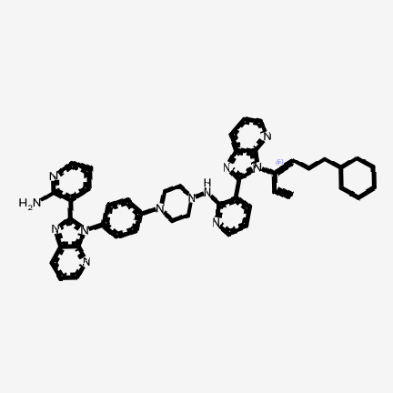 C=C/C(=C\CCC1CCCCC1)n1c(-c2cccnc2NN2CCN(c3ccc(-n4c(-c5cccnc5N)nc5cccnc54)cc3)CC2)nc2cccnc21